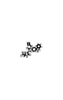 CNC(=O)C(C)(C)N(C)C(=O)CN1C[C@]2(CC[C@](c3ccccc3)(N(C)C)CC2)N(CC2CCC2)C1=O